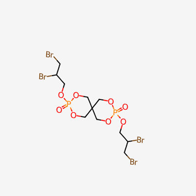 O=P1(OCC(Br)CBr)OCC2(CO1)COP(=O)(OCC(Br)CBr)OC2